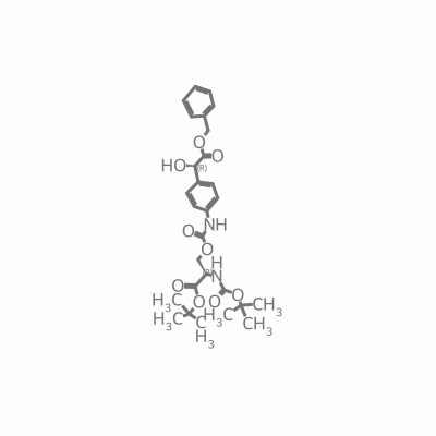 CC(C)(C)OC(=O)N[C@H](COC(=O)Nc1ccc([C@@H](O)C(=O)OCc2ccccc2)cc1)C(=O)OC(C)(C)C